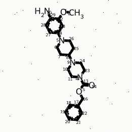 COc1cc(N2CCC(N3CCN(C(=O)OCc4ccccc4)CC3)CC2)ccc1N